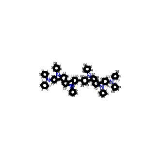 c1ccc(N(c2ccccc2)c2ccc3c4c5ccc6c(c5ccc4n(-c4ccccc4)c3c2)c2ccc(-c3ccc4c5c7ccc8c(c7ccc5n(-c5ccccc5)c4c3)c3ccc(N(c4ccccc4)c4ccccc4)cc3n8-c3ccccc3)cc2n6-c2ccccc2)cc1